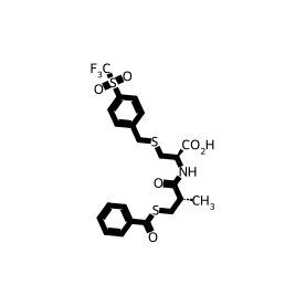 C[C@H](CSC(=O)c1ccccc1)C(=O)N[C@@H](CSCc1ccc(S(=O)(=O)C(F)(F)F)cc1)C(=O)O